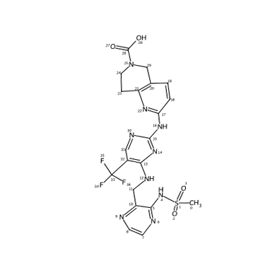 CS(=O)(=O)Nc1nccnc1CNc1nc(Nc2ccc3c(n2)CCN(C(=O)O)C3)ncc1C(F)(F)F